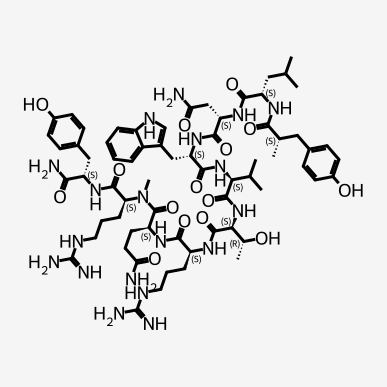 CC(C)C[C@H](NC(=O)[C@@H](C)Cc1ccc(O)cc1)C(=O)N[C@@H](CC(N)=O)C(=O)N[C@@H](Cc1c[nH]c2ccccc12)C(=O)N[C@H](C(=O)N[C@H](C(=O)N[C@@H](CCCNC(=N)N)C(=O)N[C@@H](CCC(N)=O)C(=O)N(C)[C@@H](CCCNC(=N)N)C(=O)N[C@@H](Cc1ccc(O)cc1)C(N)=O)[C@@H](C)O)C(C)C